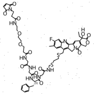 CCC1(O)C(=O)OCc2c1cc1n(c2=O)Cc2c-1nc1cc(F)c(C)cc1c2CSCCSCNC(=O)CNC(=O)[C@H](Cc1ccccc1)NC(=O)CNC(=O)CNC(=O)CCOCCOCCNC(=O)CCN1C(=O)C=CC1=O